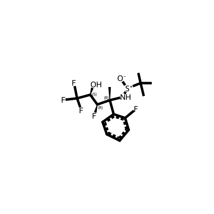 CC(C)(C)[S+]([O-])N[C@](C)(c1ccccc1F)[C@@H](F)[C@H](O)C(F)(F)F